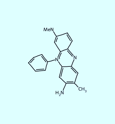 CNc1ccc2nc3cc(C)c(N)cc3[n+](-c3ccccc3)c2c1